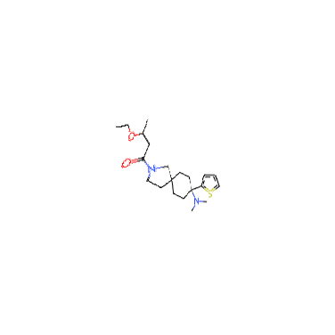 CCOC(C)CC(=O)N1CCC2(CCC(c3cccs3)(N(C)C)CC2)C1